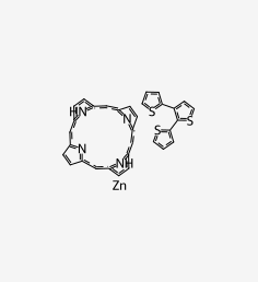 C1=Cc2cc3ccc(cc4nc(cc5ccc(cc1n2)[nH]5)C=C4)[nH]3.[Zn].c1csc(-c2ccsc2-c2cccs2)c1